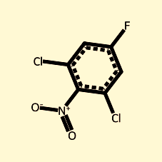 O=[N+]([O-])c1c(Cl)cc(F)cc1Cl